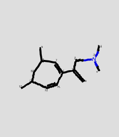 C=C(CN(C)C)C1=CC(C)CC(C)C=C1